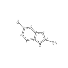 Cn1cc2cc(Cl)ccc2n1